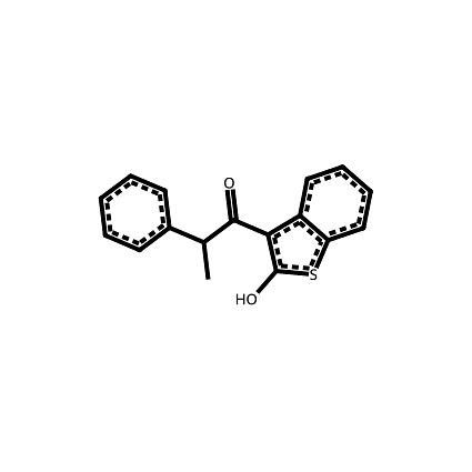 CC(C(=O)c1c(O)sc2ccccc12)c1ccccc1